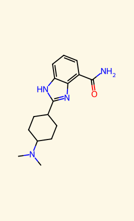 CN(C)C1CCC(c2nc3c(C(N)=O)cccc3[nH]2)CC1